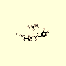 CCOC(=O)c1csc(NC(=O)NCc2ccc(Cl)c(Cl)c2)n1.NC(N)=O